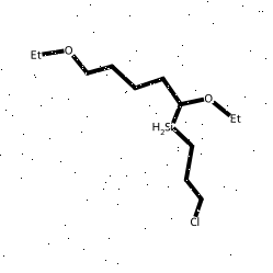 CCOCCCCC(OCC)[SiH2]CCCCl